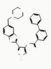 O=C(Nc1c[nH]nc1-c1nc2cc(CN3CCOCC3)ccc2[nH]1)c1cccc(-c2ccccc2)c1